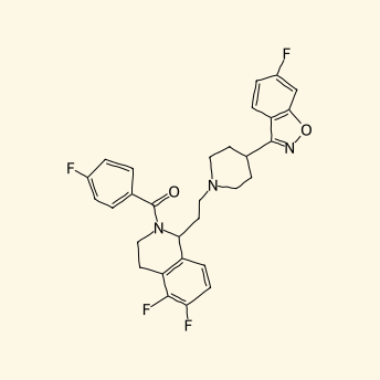 O=C(c1ccc(F)cc1)N1CCc2c(ccc(F)c2F)C1CCN1CCC(c2noc3cc(F)ccc23)CC1